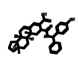 C[C@@]12CCC[C@H]1[C@@H]1CC=C3C=C(C(=O)O)C(C(=O)NC(c4ccccc4)c4ccc(O)cc4)C[C@]3(C)[C@H]1CC2